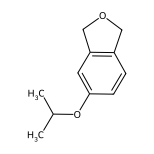 CC(C)Oc1ccc2c(c1)COC2